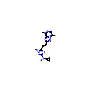 Cc1ncc(C)n2nc(C=Cc3nc(N(C)C4CC4)nn3C)nc12